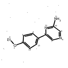 CCOc1ccc(-c2cncc(N)n2)cc1